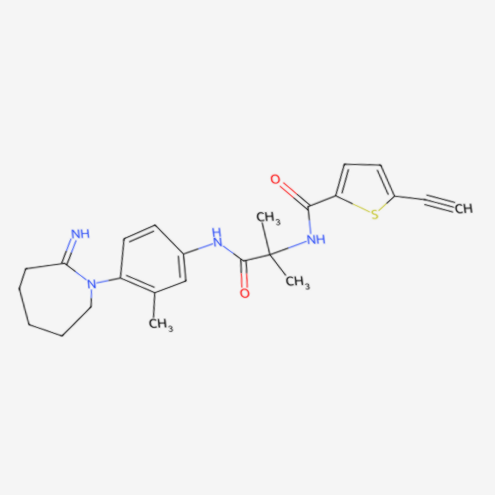 C#Cc1ccc(C(=O)NC(C)(C)C(=O)Nc2ccc(N3CCCCCC3=N)c(C)c2)s1